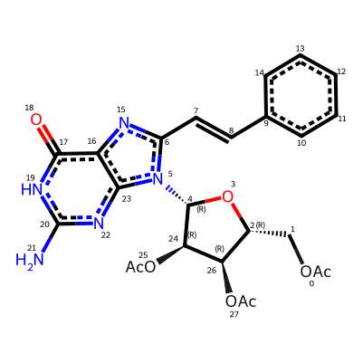 CC(=O)OC[C@H]1O[C@@H](n2c(C=Cc3ccccc3)nc3c(=O)[nH]c(N)nc32)[C@H](OC(C)=O)[C@@H]1OC(C)=O